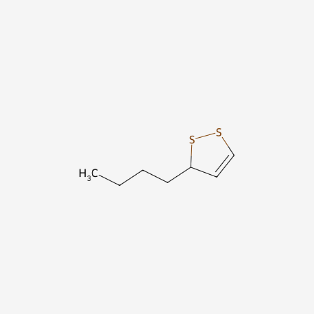 CCCCC1C=CSS1